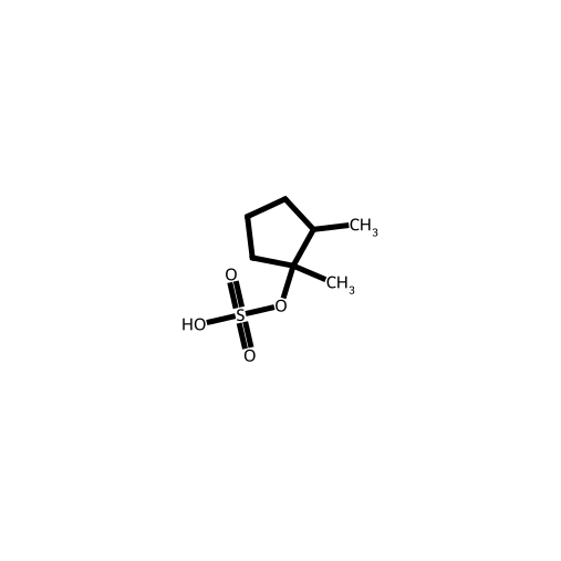 CC1CCCC1(C)OS(=O)(=O)O